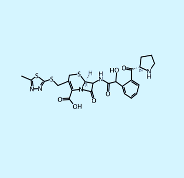 Cc1nnc(SCC2=C(C(=O)O)N3C(=O)C(NC(=O)C(O)c4ccccc4C(=O)[C@@H]4CCCN4)[C@@H]3SC2)s1